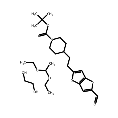 CC(C)(C)OC(=O)N1CCC(CCc2cc3sc(C=O)cc3s2)CC1.CCOC(C)OCC.OCCO